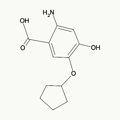 Nc1cc(O)c(OC2CCCC2)cc1C(=O)O